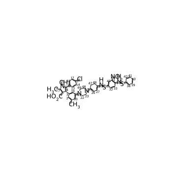 Cc1cc(-c2c(C(=O)O)c(C)n(C)c2-c2ccc(Cl)cc2)cc(N2CCN(C3=CC=C(NSc4ccc(NSc5ccccc5)c([N+](=O)[O-])c4)CC3)CC2)c1